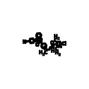 Cc1cc(Cl)nc(C)c1C(=O)NCC[C@@H](C)N1CCC(N(Cc2ccccc2)C(=O)Nc2ccc(C#N)cc2)CC1